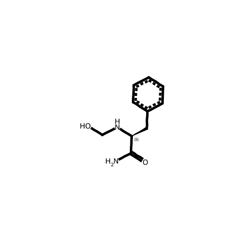 NC(=O)[C@H](Cc1ccccc1)NCO